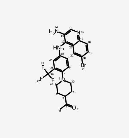 CC(=O)C1CCN(c2ccc(Nc3c(N)cnc4ccc(Br)cc34)cc2C(F)(F)F)CC1